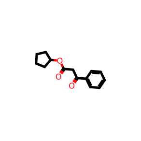 O=C(CC(=O)c1ccccc1)OC1CCCC1